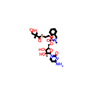 CN(Cc1ccccc1)P(=O)(OCCSC(=O)C(C)(C)CO)OC[C@H]1O[C@@H](n2ccc(N)nc2=O)[C@](C)(O)[C@@H]1O